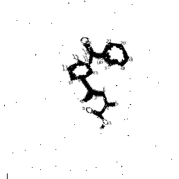 COC(=O)C(C)CC(C)c1cccc(C(=O)c2ccccc2)c1